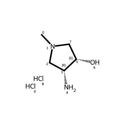 CN1C[C@@H](N)[C@@H](O)C1.Cl.Cl